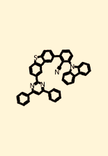 N#Cc1c(-c2ccc3sc4ccc(-c5nc(-c6ccccc6)cc(-c6ccccc6)n5)cc4c3c2)cccc1-n1c2ccccc2c2ccccc21